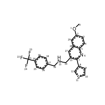 COc1ccc2nc(-c3ccsc3)c(CNCc3ccc(C(F)(F)F)cc3)cc2c1